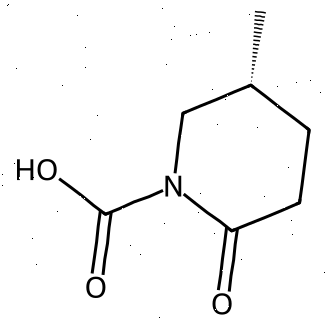 C[C@@H]1CCC(=O)N(C(=O)O)C1